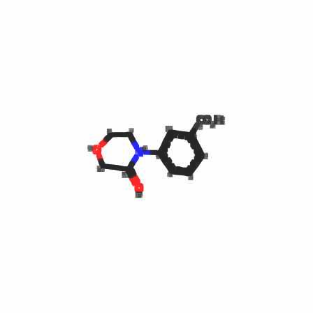 CCOC(=O)c1cccc(N2CCOCC2=O)c1